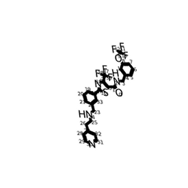 O=C(NCc1cccc(OC(F)(F)F)c1)c1sc(-c2cccc(CNCCc3ccncc3)c2)nc1C(F)(F)F